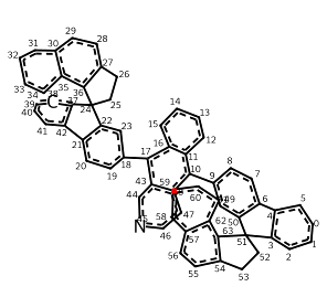 c1ccc2c(c1)-c1ccc(-c3c4ccccc4c(-c4ccc5c(c4)C4(CCc6ccc7ccccc7c64)c4ccccc4-5)c4cnccc34)cc1C21CCc2ccc3ccccc3c21